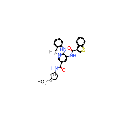 Cc1ccccc1Nc1ncc(C(=O)N[C@@H]2CC[C@@H](C(=O)O)C2)cc1NC(=O)c1csc2ccccc12